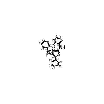 CC(C)c1nc(Nc2cccnc2Oc2ccccc2C(C)(C)C)sc1-c1ccccc1